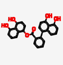 O=C(Oc1ccc(O)c2c(O)cccc12)c1ccccc1-c1ccc(O)c2c(O)cccc12